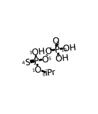 CC(C)OP(O)(=S)OOP(=O)(O)O